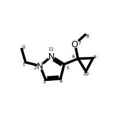 CCn1ccc(C2(OC)CC2)n1